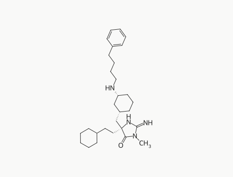 CN1C(=N)N[C@](CCC2CCCCC2)(C[C@H]2CCC[C@@H](NCCCCc3ccccc3)C2)C1=O